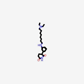 CCN(CC)CCCCCCCCNc1cccc(C2CCC(=O)NC2=O)c1